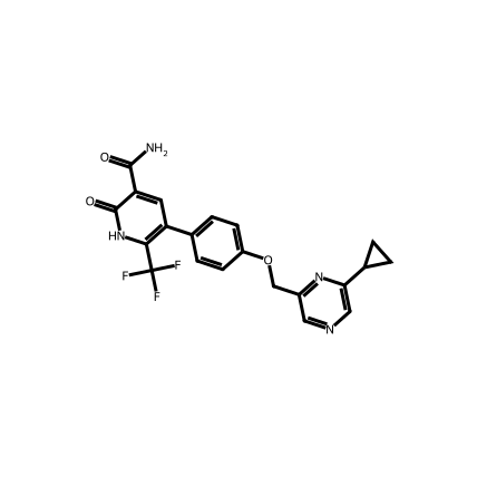 NC(=O)c1cc(-c2ccc(OCc3cncc(C4CC4)n3)cc2)c(C(F)(F)F)[nH]c1=O